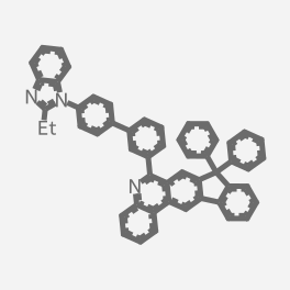 CCc1nc2ccccc2n1-c1ccc(-c2cccc(-c3nc4ccccc4c4cc5c(cc34)C(c3ccccc3)(c3ccccc3)c3ccccc3-5)c2)cc1